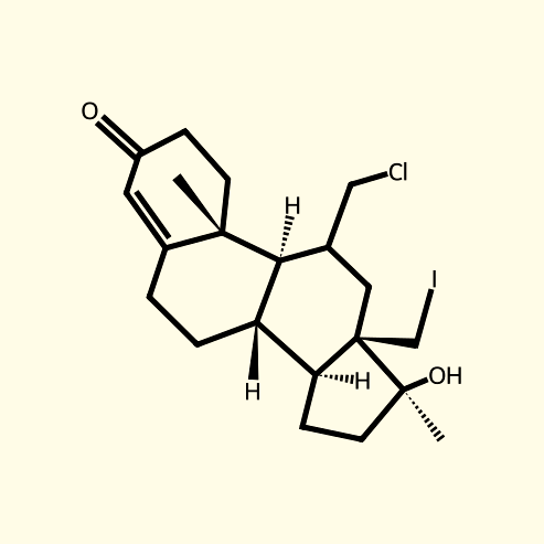 C[C@]12CCC(=O)C=C1CC[C@H]1[C@@H]3CC[C@](C)(O)[C@@]3(CI)CC(CCl)[C@@H]12